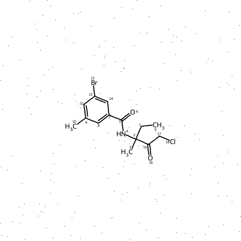 CCC(C)(NC(=O)c1cc(C)cc(Br)c1)C(=O)CCl